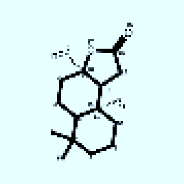 CCC[C@@]12CCC3C(C)(C)CCC[C@]3(C)C1CC(=O)O2